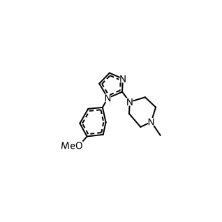 COc1ccc(-n2ccnc2N2CCN(C)CC2)cc1